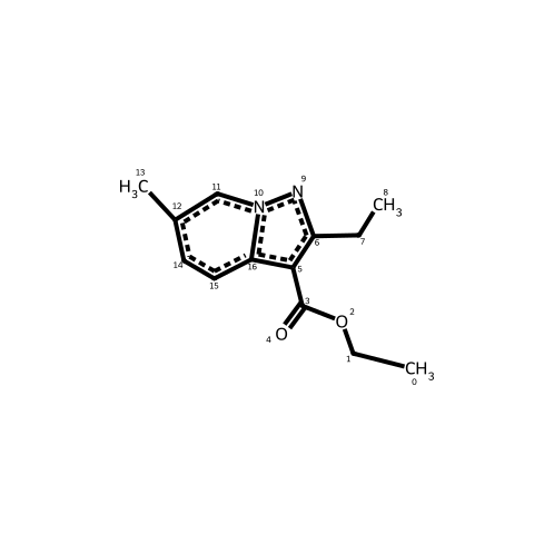 CCOC(=O)c1c(CC)nn2cc(C)ccc12